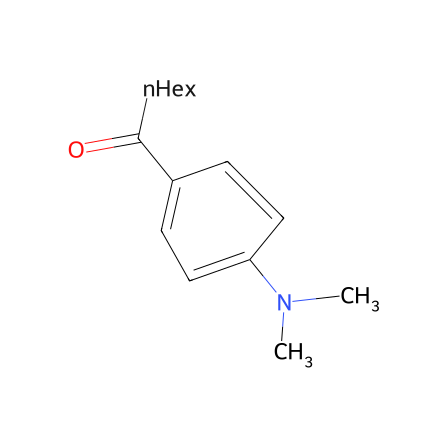 CCCCCCC(=O)c1ccc(N(C)C)cc1